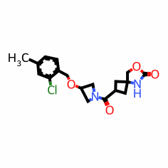 Cc1ccc(COC2CN(C(=O)C3CC4(COC(=O)N4)C3)C2)c(Cl)c1